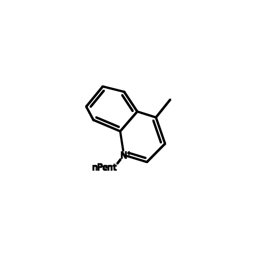 CCCCC[n+]1ccc(C)c2ccccc21